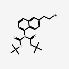 CC(C)(C)OC(=O)N(C(=O)OC(C)(C)C)c1nccc2cc(CCN)ccc12